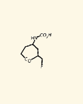 O=C(O)NC1CCCOC(CF)C1